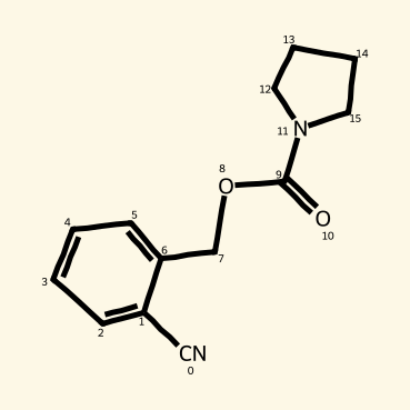 N#Cc1ccccc1COC(=O)N1CCCC1